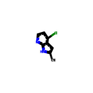 N#Cc1cc2c(Cl)ccnc2[nH]1